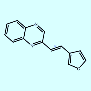 C(=C\c1cnc2ccccc2n1)/c1ccoc1